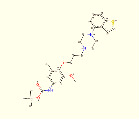 COc1cc(NC(=O)OC(C)(C)C)cc(C)c1OCCCN1CCN(c2cccc3sccc23)CC1